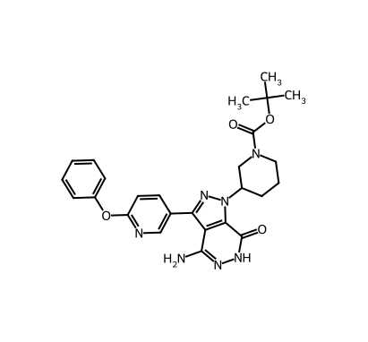 CC(C)(C)OC(=O)N1CCCC(n2nc(-c3ccc(Oc4ccccc4)nc3)c3c(N)n[nH]c(=O)c32)C1